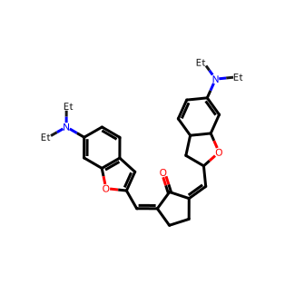 CCN(CC)C1=CC2OC(C=C3CCC(=Cc4cc5ccc(N(CC)CC)cc5o4)C3=O)CC2C=C1